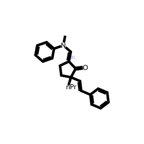 CCCC1(C=Cc2ccccc2)CC/C(=C\N(C)c2ccccc2)C1=O